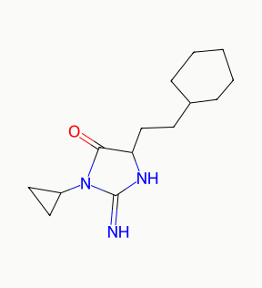 N=C1NC(CCC2CCCCC2)C(=O)N1C1CC1